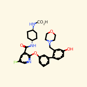 O=C(O)N[C@H]1CC[C@H](NC(=O)c2cc(F)cnc2Oc2cccc(-c3ccc(O)cc3CN3CCOCC3)c2)CC1